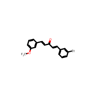 CCc1cccc(/C=C/C(=O)/C=C/c2cccc(OC(F)(F)F)c2)c1